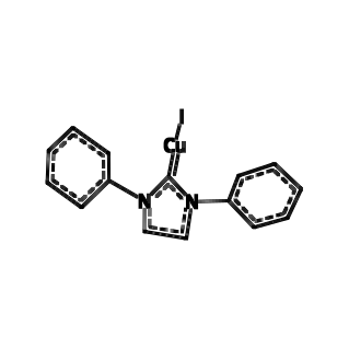 [I][Cu]=[c]1n(-c2ccccc2)ccn1-c1ccccc1